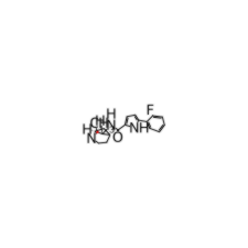 C[C@H]1[C@H](NC(=O)c2ccc(-c3ccccc3F)[nH]2)C2CCN1CC2